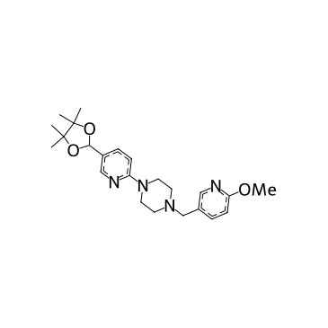 COc1ccc(CN2CCN(c3ccc(C4OC(C)(C)C(C)(C)O4)cn3)CC2)cn1